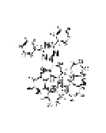 c1ccc(-c2nc(-c3ccccc3)nc(-c3ccc(-n4c5ccccc5c5ccc6sc7ccccc7c6c54)c4c3sc3ccccc34)n2)cc1